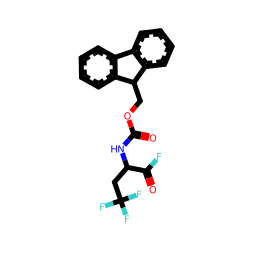 O=C(NC(CC(F)(F)F)C(=O)F)OCC1c2ccccc2-c2ccccc21